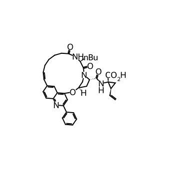 C=C[C@@H]1C[C@]1(NC(=O)[C@@H]1C[C@@H]2CN1C(=O)[C@H](CCCC)NC(=O)CCCC/C=C\c1ccc3nc(-c4ccccc4)cc(c3c1)O2)C(=O)O